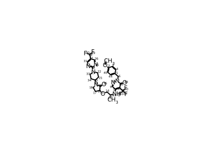 COc1ccc(Cn2ncc(N[C@@H](C)COC3CCN(C4CCN(c5ncc(C(F)F)cn5)CC4)C3=O)c(C(F)(F)F)c2=O)cc1